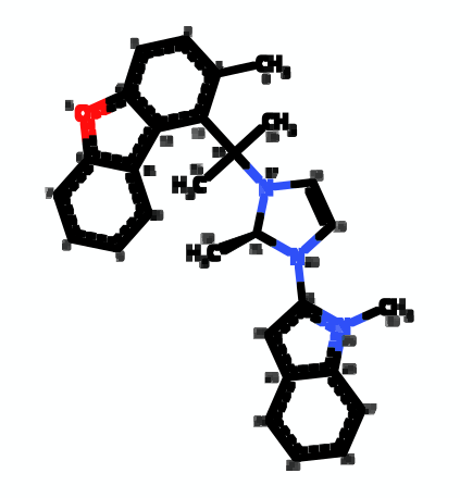 Cc1ccc2oc3ccccc3c2c1C(C)(C)N1C=CN(c2cc3ccccc3n2C)[C@H]1C